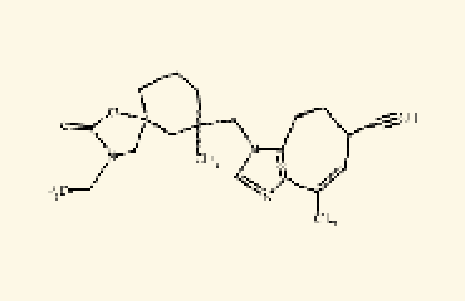 C#CC1C=C(C)c2ncn(CC3(C)CCCC4(CN(CC)C(=O)O4)C3)c2CC1